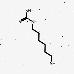 S=C(S)NCCCCCCS